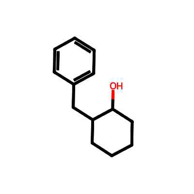 OC1CCCCC1Cc1ccccc1